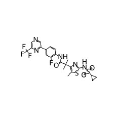 Cc1sc(NS(=O)(=O)C2CC2)nc1C(C)(C)C(=O)Nc1ccc(-c2cncc(C(F)(F)F)n2)cc1F